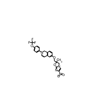 C[C@@]1(COc2ccc3c(c2)CCN(c2ccc(OC(F)(F)F)cc2)C3)Cn2cc([N+](=O)[O-])nc2O1